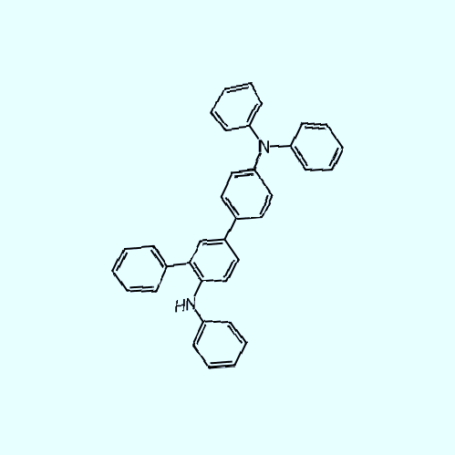 c1ccc(Nc2ccc(-c3ccc(N(c4ccccc4)c4ccccc4)cc3)cc2-c2ccccc2)cc1